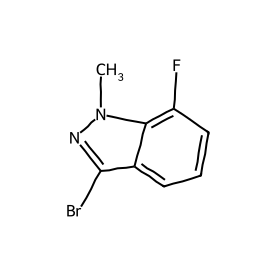 Cn1nc(Br)c2cccc(F)c21